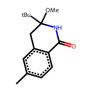 COC1(C(C)(C)C)Cc2cc(C)ccc2C(=O)N1